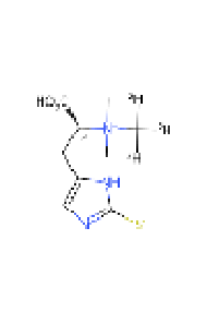 [2H]C([2H])([2H])[N+](C)(C)[C@@H](Cc1cnc([S-])[nH]1)C(=O)O